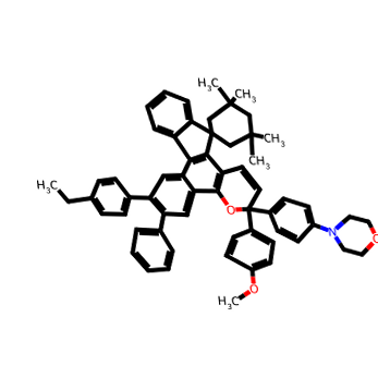 CCc1ccc(-c2cc3c4c(c5c(c3cc2-c2ccccc2)OC(c2ccc(OC)cc2)(c2ccc(N3CCOCC3)cc2)C=C5)C2(CC(C)(C)CC(C)(C)C2)c2ccccc2-4)cc1